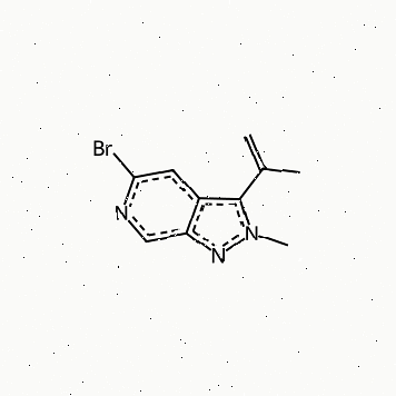 C=C(C)c1c2cc(Br)ncc2nn1C